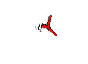 CCCCCCCCCCCCCCCCOCCCOP(=O)(CC/C=C(\F)Cn1cnc2c(Cl)nc(N)nc21)OCCCOCCCCCCCCCCCCCCCC